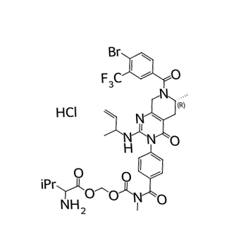 C=CC(C)Nc1nc2c(c(=O)n1-c1ccc(C(=O)N(C)C(=O)OCOC(=O)C(N)C(C)C)cc1)C[C@@H](C)N(C(=O)c1ccc(Br)c(C(F)(F)F)c1)C2.Cl